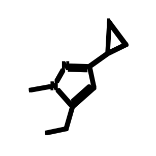 CCc1cc(C2CC2)nn1C